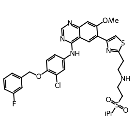 COc1cc2ncnc(Nc3ccc(OCc4cccc(F)c4)c(Cl)c3)c2cc1-c1csc(CCNCCS(=O)(=O)C(C)C)n1